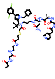 CCC(=O)NCC(=O)NCCNC(=O)CCSCC(=O)N(CCCNC(=O)[C@H](CC(N)=O)NC(=O)[C@@H](C)NC(=O)[C@H](C)NC(=O)Cc1ccncc1)[C@@H](c1cc(-c2cc(F)ccc2F)cn1Cc1ccccc1)C(C)(C)C